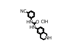 Cl.N#Cc1cccc(NC(=O)Nc2ccc3c(c2)CCNC3)c1